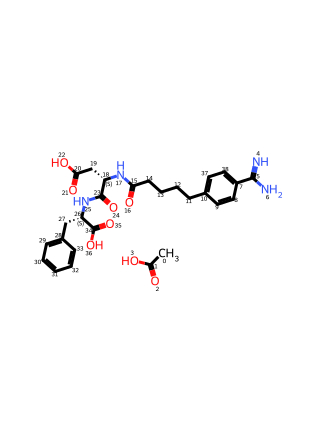 CC(=O)O.N=C(N)c1ccc(CCCCC(=O)N[C@@H](CC(=O)O)C(=O)N[C@@H](Cc2ccccc2)C(=O)O)cc1